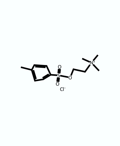 Cc1ccc(S(=O)(=O)OCC[N+](C)(C)C)cc1.[Cl-]